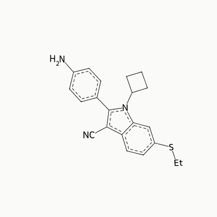 CCSc1ccc2c(C#N)c(-c3ccc(N)cc3)n(C3CCC3)c2c1